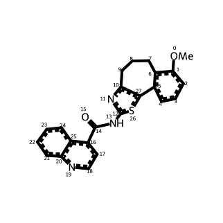 COc1cccc2c1CCCc1nc(NC(=O)c3ccnc4ccccc34)sc1-2